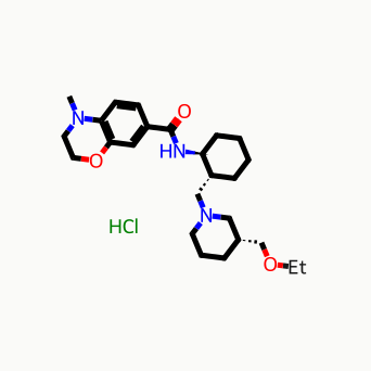 CCOC[C@@H]1CCCN(C[C@H]2CCCC[C@@H]2NC(=O)c2ccc3c(c2)OCCN3C)C1.Cl